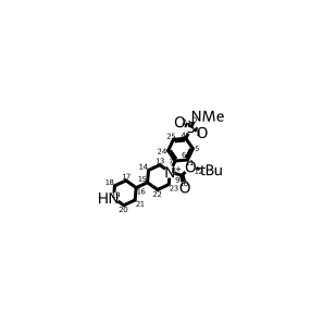 CNS(=O)(=O)c1ccc([N+]2(C(=O)OC(C)(C)C)CCC(C3CCNCC3)CC2)cc1